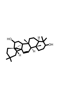 CC1(C)CC[C@]23CO[C@@]4(C=C[C@@H]5[C@@]6(C)CCC(O)C(C)(C)[C@@H]6CC[C@@]5(C)[C@]4(C)CC2O)[C@@H]3C1